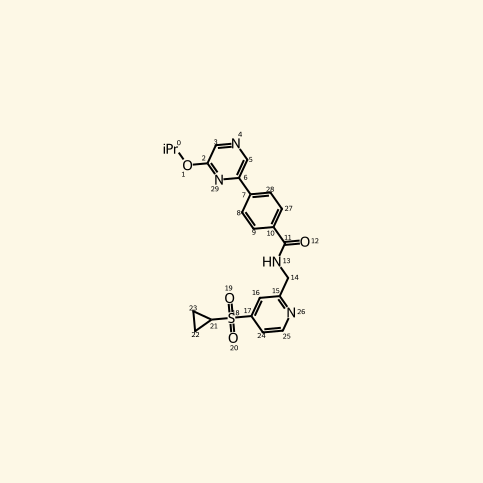 CC(C)Oc1cncc(-c2ccc(C(=O)NCc3cc(S(=O)(=O)C4CC4)ccn3)cc2)n1